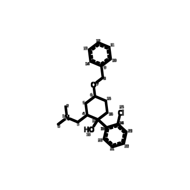 CN(C)CC1CC(OCc2ccccc2)CCC1(O)c1ccccc1Cl